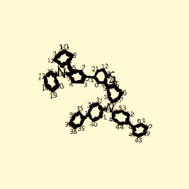 C1=C(c2ccc3c(c2)c2ccccc2n3-c2ccccc2)CCc2sc3ccc(N(c4ccc(-c5ccccc5)cc4)c4ccc(-c5ccccc5)cc4)cc3c21